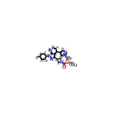 Cc1ccc(-n2nc(C3CN(C(=O)OC(C)(C)C)C3)c3c(-c4cnn(C(C)C)c4)ccnc32)cc1